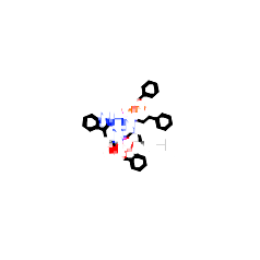 CC(C)C[C@H](N/C(CCc1ccccc1)=[P+](\[O-])OCc1ccccc1)C(=O)N[C@@H](Cc1c[nH]c2ccccc12)C(=O)OCc1ccccc1